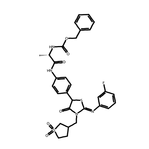 C[C@H](NC(=O)OCc1ccccc1)C(=O)Nc1ccc(C2S/C(=N\c3cccc(F)c3)N(CC3CCS(=O)(=O)C3)C2=O)cc1